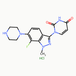 Cl.Cn1nc(-n2ccc(=O)[nH]c2=O)c2ccc(N3CCNCC3)c(F)c21